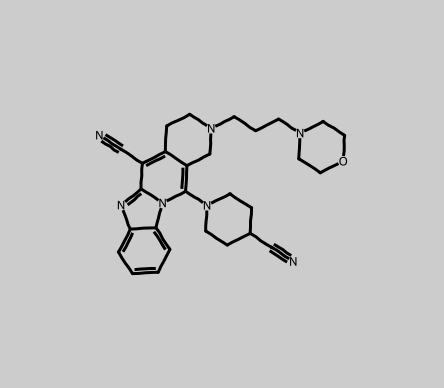 N#Cc1c2c(c(N3CCC(C#N)CC3)n3c1nc1ccccc13)CN(CCCN1CCOCC1)CC2